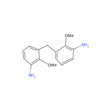 COc1c(N)cccc1Cc1cccc(N)c1OC